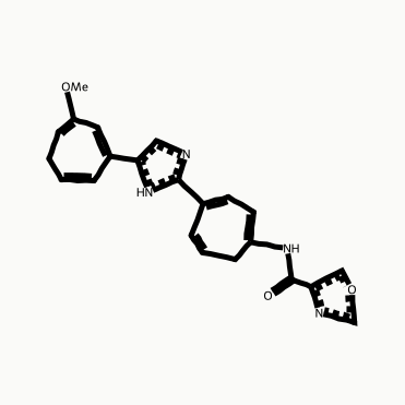 COC1=CCC=CC(c2cnc(C3=CC=C(NC(=O)c4cocn4)CC=C3)[nH]2)=C1